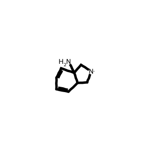 NC12C=CC=CC1C[N]C2